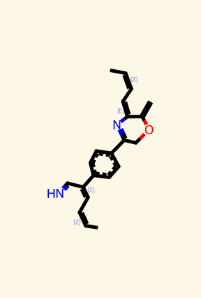 C=C1OCC(c2ccc(/C(C=N)=C/C=C\C)cc2)=N/C1=C/C=C\C